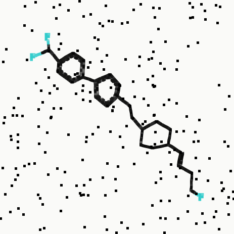 FCC/C=C/C1CCC(CCc2ccc(-c3ccc(C(F)F)cc3)cc2)CC1